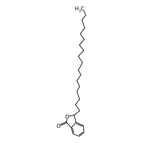 CCCCCCCCCCCCCCCCCCC1OC(=O)c2ccccc21